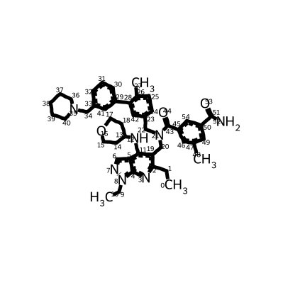 CCc1nc2c(cnn2CC)c(NC2CCOCC2)c1CN(Cc1ccc(C)c(-c2cccc(CN3CCCCC3)c2)c1)C(=O)c1cc(C)cc(C(N)=O)c1